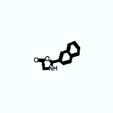 O=C1CNC(c2ccc3ccccc3c2)O1